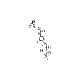 CC(C)(C)OC(=O)C1[C@H]2CN(c3ccc(N4C[C@H](COS(C)(=O)=O)OC4=O)cc3F)C[C@@H]12